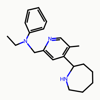 CCN(Cc1cc(C2CCCCCN2)c(C)cn1)c1ccccc1